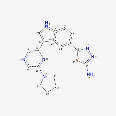 Nc1nnc(-c2ccc3[nH]cc(-c4cncc(N5CCCC5)n4)c3c2)s1